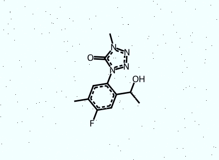 Cc1cc(-n2nnn(C)c2=O)c(C(C)O)cc1F